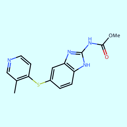 COC(=O)Nc1nc2cc(Sc3ccncc3C)ccc2[nH]1